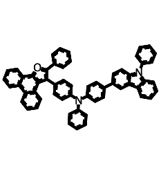 c1ccc(-c2oc3c4ccccc4c4ccccc4c3c2-c2ccc(N(c3ccccc3)c3ccc(-c4ccc5c(c4)c4ccccc4n5-c4ccccc4)cc3)cc2)cc1